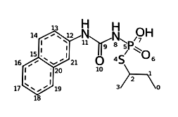 CCC(C)SP(=O)(O)NC(=O)Nc1ccc2ccccc2c1